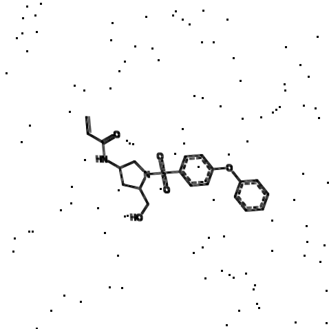 C=CC(=O)NC1CC(CO)N(S(=O)(=O)c2ccc(Oc3ccccc3)cc2)C1